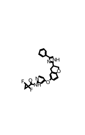 O=C(Nc1cc(Oc2ccc3c(c2)CC(c2nc(-c4ccccc4)c[nH]2)CO3)ccn1)C1(F)CC1F